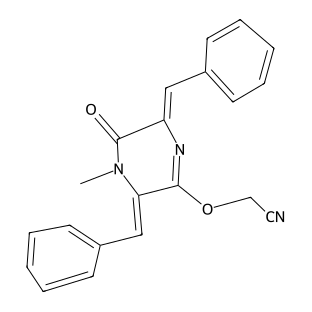 Cn1c(=O)/c(=C/c2ccccc2)nc(OCC#N)/c1=C/c1ccccc1